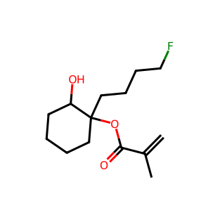 C=C(C)C(=O)OC1(CCCCF)CCCCC1O